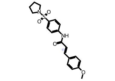 COc1ccc(/C=C/C(=O)Nc2ccc(S(=O)(=O)N3CCCC3)cc2)cc1